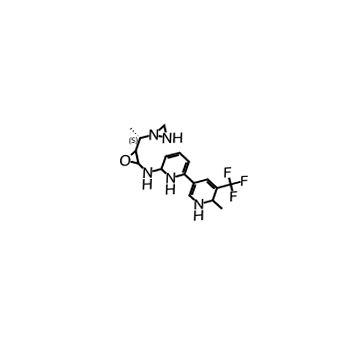 CC1NC=C(C2=CC=CC(NC3OC3[C@H](C)N3CN3)N2)C=C1C(F)(F)F